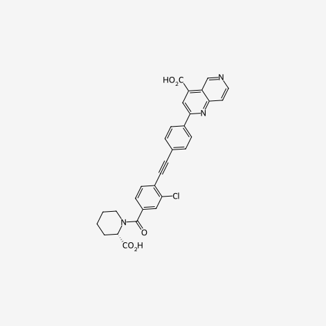 O=C(O)c1cc(-c2ccc(C#Cc3ccc(C(=O)N4CCCC[C@H]4C(=O)O)cc3Cl)cc2)nc2ccncc12